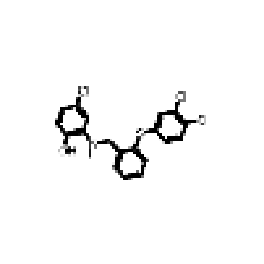 Oc1ccc(Cl)cc1NCc1ccccc1Sc1ccc(Cl)c(Cl)c1